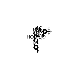 CCCC(O)C(CN(Cc1ccc(CC)cc1)C(C)C)NC(=O)CNC(=O)c1cc(C(F)(F)F)ccc1NC(=O)NC(C)C